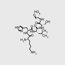 CC(C)C[C@H](NC(=O)[C@H](Cc1c[nH]cn1)NC(=O)[C@@H](N)CCCCN)C(=O)N[C@@H](CO)C(=O)N[C@H]([C]=O)CO